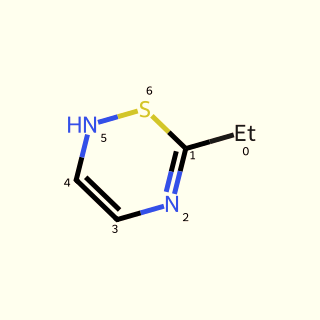 CCC1=NC=CNS1